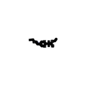 CCO/C=C/c1cnc(C(C)(C)C(=O)OCC)nc1